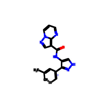 CC/C=C(\C=C(C)C)c1n[nH]cc1NC(=O)c1cnn2cccnc12